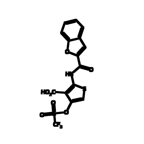 O=C(Nc1scc(OS(=O)(=O)C(F)(F)F)c1C(=O)O)c1cc2ccccc2o1